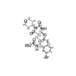 CC(C)(C)[S@@+]([O-])N[C@@H](c1cc(Br)ccc1F)[C@H](F)CC1C(=O)NC(=O)N(C2CCOCC2)C1=O